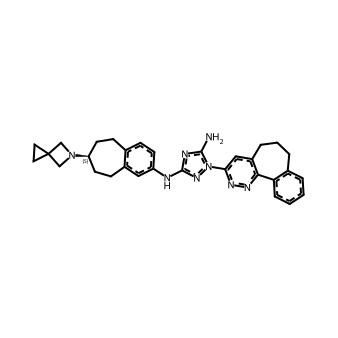 Nc1nc(Nc2ccc3c(c2)CC[C@@H](N2CC4(CC4)C2)CC3)nn1-c1cc2c(nn1)-c1ccccc1CCC2